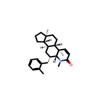 Cc1ccccc1C[C@@H]1C[C@H]2[C@@H]3CCC[C@@]3(C)CC[C@@H]2[C@@]2(C)C=CC(=O)N(C)[C@H]12